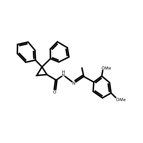 COc1ccc(/C(C)=N/NC(=O)C2CC2(c2ccccc2)c2ccccc2)c(OC)c1